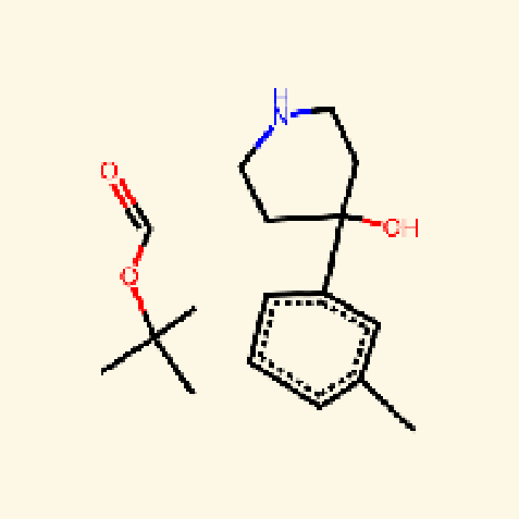 CC(C)(C)OC=O.Cc1cccc(C2(O)CCNCC2)c1